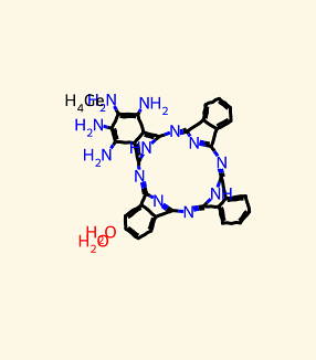 Nc1c(N)c(N)c2c3nc4nc(nc5[nH]c(nc6nc(nc([nH]3)c2c1N)-c1ccccc1-6)c1ccccc51)-c1ccccc1-4.O.O.[GeH4]